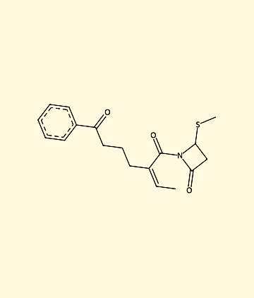 CC=C(CCCC(=O)c1ccccc1)C(=O)N1C(=O)CC1SC